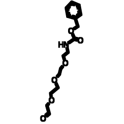 O=CCOCCOCCOCCNC(=O)OCc1ccccc1